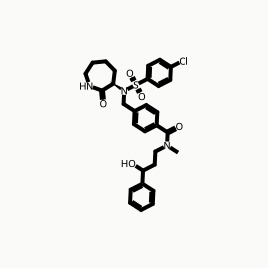 CN(CCC(O)c1ccccc1)C(=O)c1ccc(CN([C@@H]2CCCCNC2=O)S(=O)(=O)c2ccc(Cl)cc2)cc1